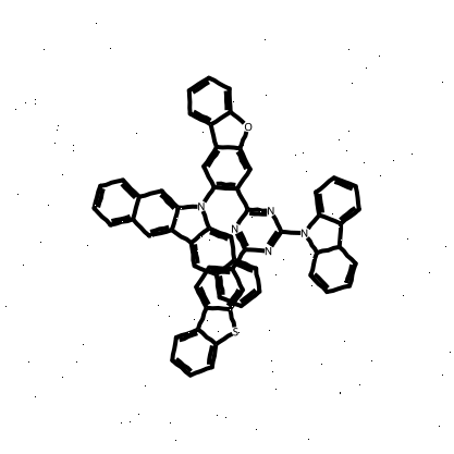 C1=CC2c3ccccc3N(c3nc(-c4ccc5c(c4)sc4ccccc45)nc(-c4cc5oc6ccccc6c5cc4-n4c5cc6ccccc6cc5c5cc6ccccc6cc54)n3)C2C=C1